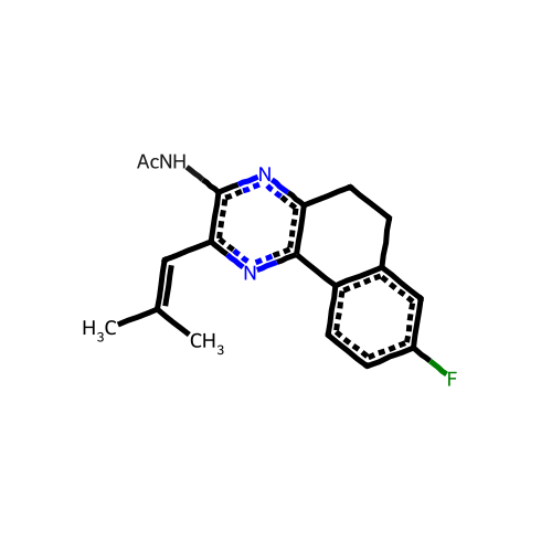 CC(=O)Nc1nc2c(nc1C=C(C)C)-c1ccc(F)cc1CC2